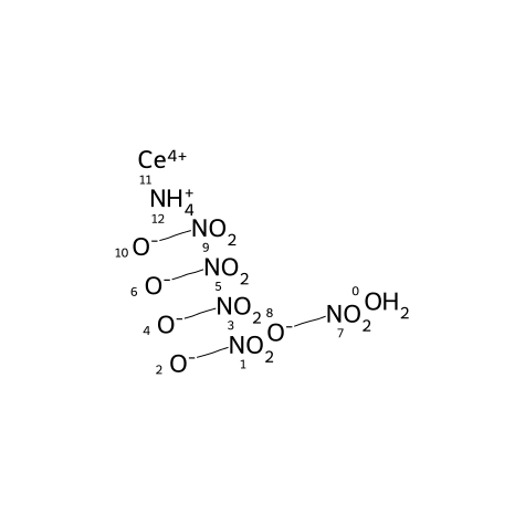 O.O=[N+]([O-])[O-].O=[N+]([O-])[O-].O=[N+]([O-])[O-].O=[N+]([O-])[O-].O=[N+]([O-])[O-].[Ce+4].[NH4+]